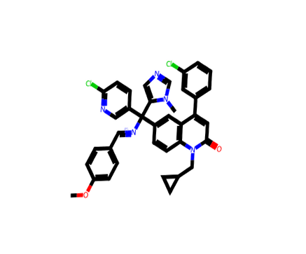 COc1ccc(/C=N/C(c2ccc(Cl)nc2)(c2ccc3c(c2)c(-c2cccc(Cl)c2)cc(=O)n3CC2CC2)c2cncn2C)cc1